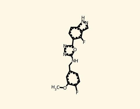 COc1cc(CNc2nnc(-c3ccc4[nH]ncc4c3F)o2)ccc1F